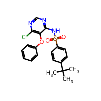 CC(C)(C)c1ccc(S(=O)(=O)Nc2ncnc(Cl)c2Oc2ccccc2)cc1